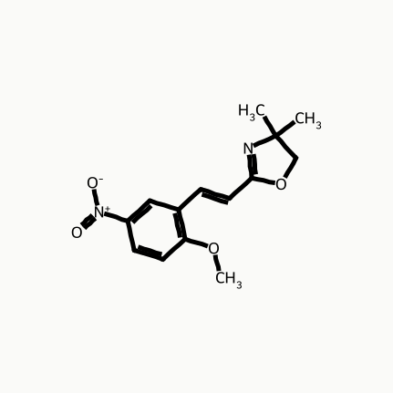 COc1ccc([N+](=O)[O-])cc1/C=C/C1=NC(C)(C)CO1